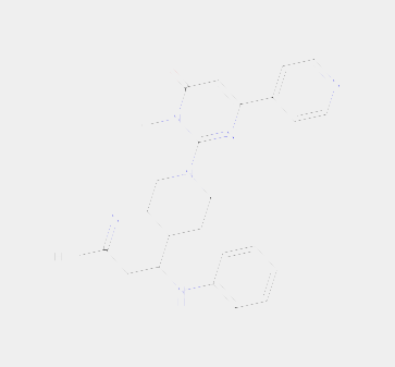 CC(=N)CC(Nc1ccccc1)C1CCN(c2nc(-c3ccncc3)cc(=O)n2C)CC1